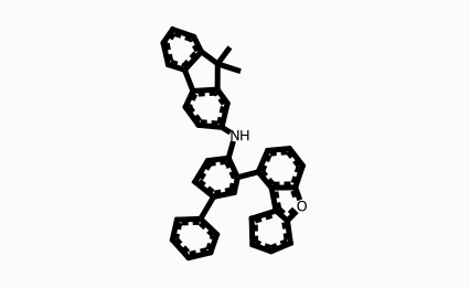 CC1(C)c2ccccc2-c2ccc(Nc3ccc(-c4ccccc4)cc3-c3cccc4oc5ccccc5c34)cc21